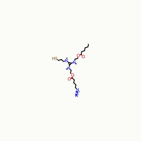 CCCCCC(=O)OCCN(C)C1C(N(C)CCCS)C1N(C)CCOC(=O)CCCCN=[N+]=[N-]